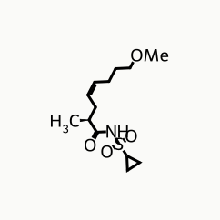 COCCC/C=C\C[C@H](C)C(=O)NS(=O)(=O)C1CC1